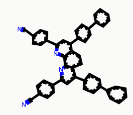 N#Cc1ccc(-c2cc(-c3ccc(-c4ccccc4)cc3)c3ccc4c(-c5ccc(-c6ccccc6)cc5)cc(-c5ccc(C#N)cc5)nc4c3n2)cc1